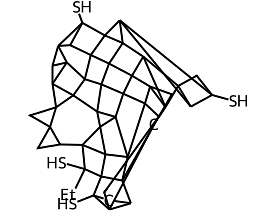 CCC1(S)C23C4CC45CC54C56C7C89C%10C8(S)C8%11C%12%13C%14C%12(S)CC%14%12C%14%15CC%16%17CC%18%19CC%14%20C%18%14C%18%21C%19%22C%16CC%17(S)C1%22C2%18C31C23C45C4(C796)C%108C56C%20(C%12%15C%13%115)C%14(C462)C%2113